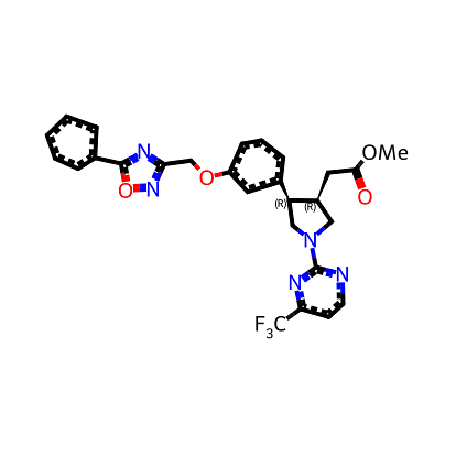 COC(=O)C[C@H]1CN(c2nccc(C(F)(F)F)n2)C[C@H]1c1cccc(OCc2noc(-c3ccccc3)n2)c1